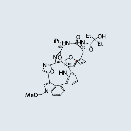 CCC(O)(CC)C(=O)N[C@H]1Cc2ccc3c(c2)[C@]24c5cccc(c5NC2O3)-c2cccc3c2c(cn3COC)-c2cnc(o2)-c2nc(oc24)[C@H](C(C)C)NC1=O